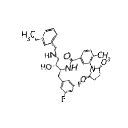 CCc1cccc(CNC[C@@H](O)[C@H](Cc2cc(F)cc(F)c2)NC(=O)c2ccc(C)c(N3C(=O)CCC3=O)c2)c1